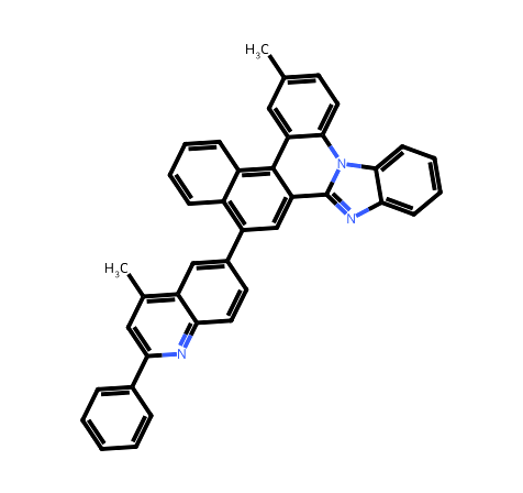 Cc1ccc2c(c1)c1c3ccccc3c(-c3ccc4nc(-c5ccccc5)cc(C)c4c3)cc1c1nc3ccccc3n21